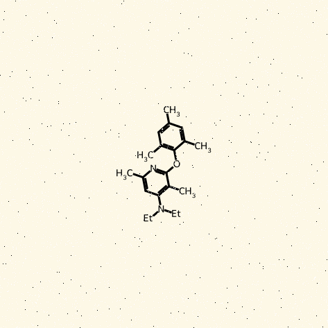 CCN(CC)c1cc(C)nc(Oc2c(C)cc(C)cc2C)c1C